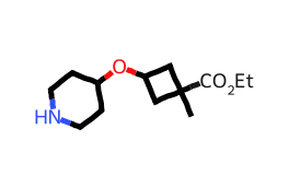 CCOC(=O)C1(C)CC(OC2CCNCC2)C1